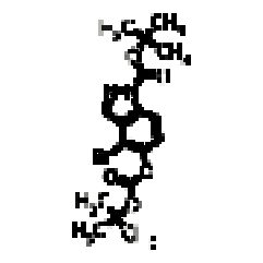 CC(C)(C)OC(=O)Oc1ccc2c(cnn2C(=O)OC(C)(C)C)c1Br